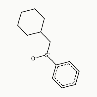 [O-][S+](CC1CCCCC1)c1ccccc1